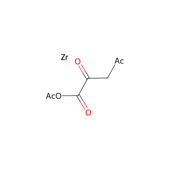 CC(=O)CC(=O)C(=O)OC(C)=O.[Zr]